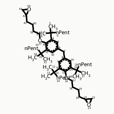 CCCCCC(C)(C)c1cc(Cc2cc(C(C)(C)CCCCC)c(OCCCCC3CO3)c(C(C)(C)CCCCC)c2)cc(C(C)(C)CCCCC)c1OCCCCC1CO1